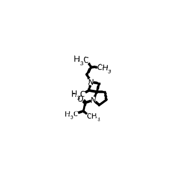 CC(C)CN1CC2(CCCN2C(=O)C(C)C)C1C